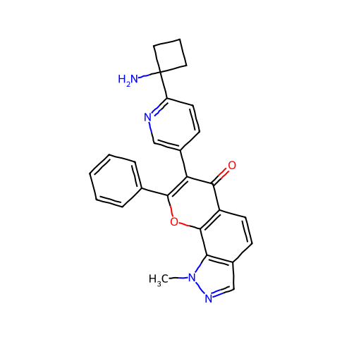 Cn1ncc2ccc3c(=O)c(-c4ccc(C5(N)CCC5)nc4)c(-c4ccccc4)oc3c21